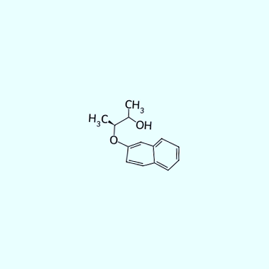 CC(O)[C@H](C)Oc1ccc2ccccc2c1